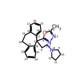 Cc1nnc(C2(CCN3CCCC3)c3ccccc3CCc3ccccc32)o1